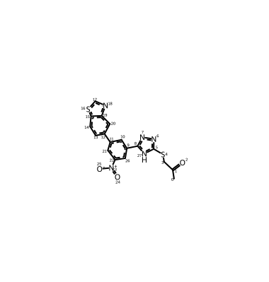 CC(=O)CSc1nnc(-c2cc(-c3ccc4scnc4c3)cc([N+](=O)[O-])c2)[nH]1